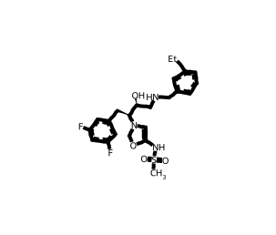 CCc1cccc(CNC[C@@H](O)[C@H](Cc2cc(F)cc(F)c2)N2C=C(NS(C)(=O)=O)OC2)c1